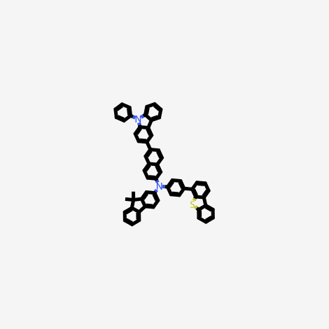 CC1(C)c2ccccc2-c2ccc(N(c3ccc(-c4cccc5c4sc4ccccc45)cc3)c3ccc4cc(-c5ccc6c(c5)c5ccccc5n6-c5ccccc5)ccc4c3)cc21